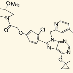 CO[C@H]1CCN(C(=O)COc2ccc(-c3nc4c(OC5(C)CC5)ncnc4n3Cc3cc(C)ccn3)c(Cl)c2)C1